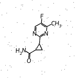 Cc1nc(C2CC2C(N)=O)ncc1F